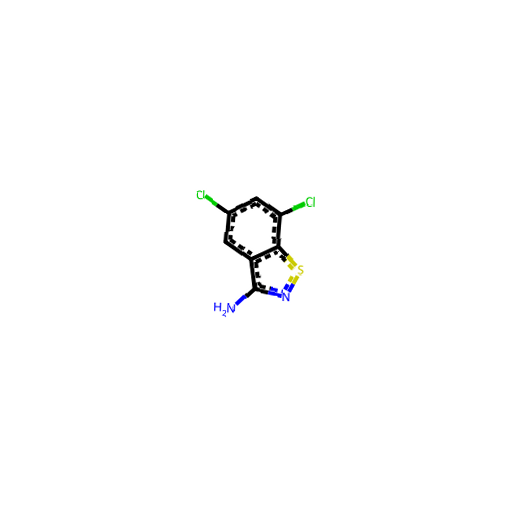 Nc1nsc2c(Cl)cc(Cl)cc12